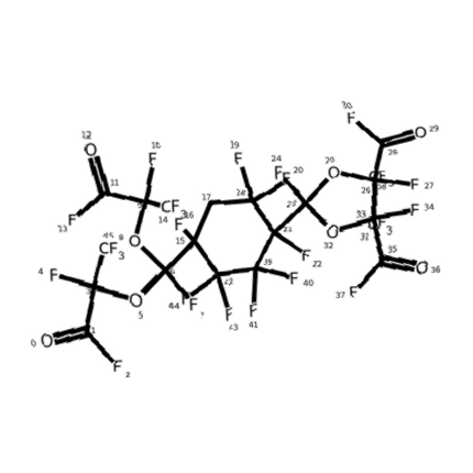 O=C(F)C(F)(OC(F)(OC(F)(C(=O)F)C(F)(F)F)C1(F)CC(F)(F)C(F)(C(F)(OC(F)(C(=O)F)C(F)(F)F)OC(F)(C(=O)F)C(F)(F)F)C(F)(F)C1(F)F)C(F)(F)F